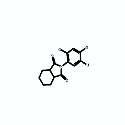 O=C1C2CCCCC2C(=O)N1c1cc(Cl)c(Cl)cc1Cl